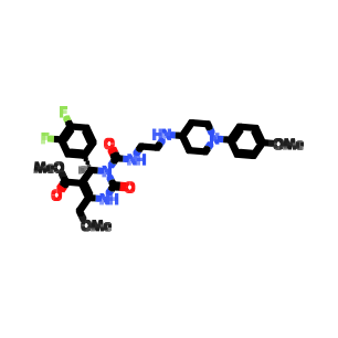 COCC1=C(C(=O)OC)[C@H](c2ccc(F)c(F)c2)N(C(=O)NCCNC2CCN(c3ccc(OC)cc3)CC2)C(=O)N1